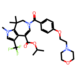 CC(C)OC(=O)C1=CN(C(=O)c2ccc(OCCN3CCOCC3)cc2)CC(C)(C)c2c1c(C(F)(F)F)cn2C